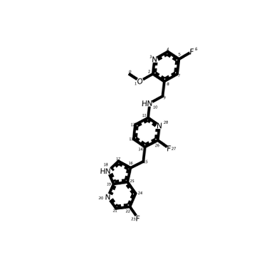 COc1ncc(F)cc1CNc1ccc(Cc2c[nH]c3ncc(F)cc23)c(F)n1